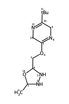 CC1NNC(COC2=NCC(C(C)(C)C)=NC2)O1